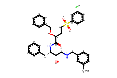 COc1cccc(CNC[C@H](O)[C@H](Cc2ccccc2)NC(=O)C(CCS(=O)(=O)c2ccccc2)OCc2ccccc2)c1.Cl